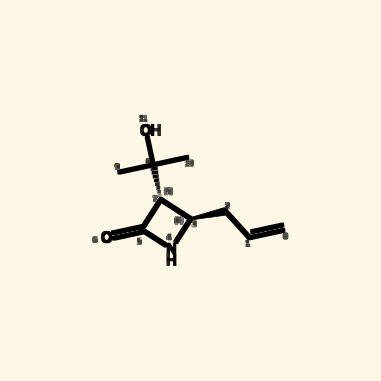 C=CC[C@H]1NC(=O)[C@@H]1C(C)(C)O